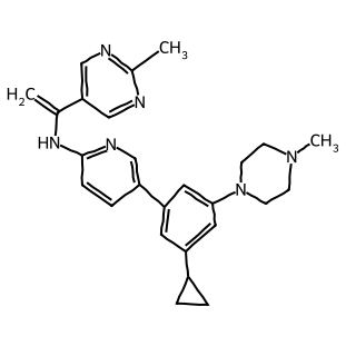 C=C(Nc1ccc(-c2cc(C3CC3)cc(N3CCN(C)CC3)c2)cn1)c1cnc(C)nc1